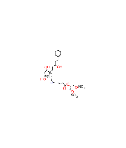 O=C(CCC/C=C\C[C@H]1[C@H](CCC(O)CCc2ccccc2)[C@@H](O)C[C@H]1O)OC(CO[N+](=O)[O-])CO[N+](=O)[O-]